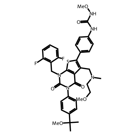 COCCN(C)Cc1c(-c2ccc(NC(=O)NOC)cc2)sc2c1c(=O)n(-c1ccc(C(C)(C)OC)cc1)c(=O)n2Cc1c(F)cccc1F